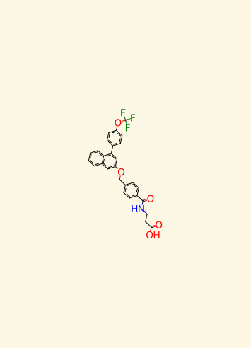 O=C(O)CCNC(=O)c1ccc(COc2cc(-c3ccc(OC(F)(F)F)cc3)c3ccccc3c2)cc1